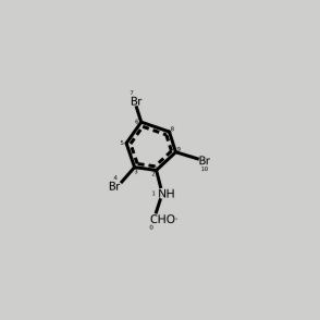 O=[C]Nc1c(Br)cc(Br)cc1Br